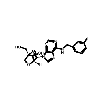 OC[C@@]12CO[C@@H]([C@H](n3cnc4c(NCc5cccc(I)c5)ncnc43)O1)[C@H]2O